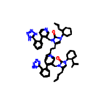 CCCCc1cn(C2CCCCC2C(C)C)c(=O)n1Cc1cnccc1-c1ccccc1-c1nnn[nH]1.CCCCc1cn(C2CCCCC2CCC)c(=O)n1Cc1cnccc1-c1ccccc1-c1nnn[nH]1